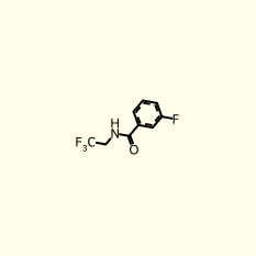 O=C(NCC(F)(F)F)c1cccc(F)c1